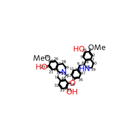 COc1cc2c(cc1O)[C@H](Cc1ccc(Oc3cc(C[C@@H]4c5cc(O)c(OC)cc5CCN4C)ccc3O)cc1)NCC2